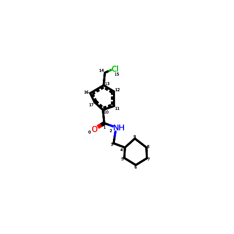 O=C(NCC1CCCCC1)c1ccc(CCl)cc1